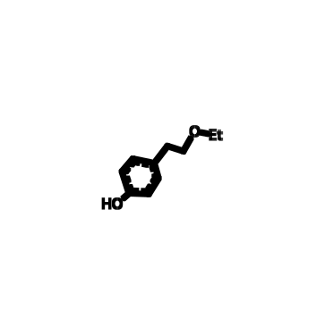 CCOCCc1ccc(O)cc1